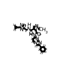 Cn1ncc(C(=O)NCc2nc(C3CC3)no2)c1C(=O)Nc1ccn2cc(-c3ccccc3)nc2n1